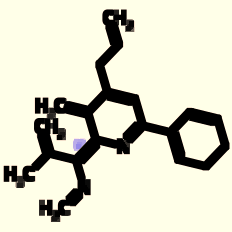 C=CCc1cc(C2=CCCC=C2)n/c(=C(\N=C)C(=C)C)c1=C